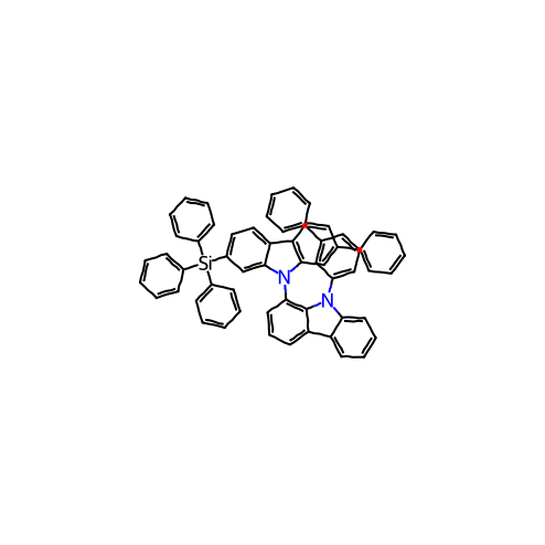 c1ccc(-c2cccc(-n3c4ccccc4c4cccc(-n5c6cc(-c7ccccc7)ccc6c6ccc([Si](c7ccccc7)(c7ccccc7)c7ccccc7)cc65)c43)c2)cc1